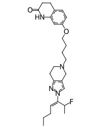 CCC/C=C(\C(C)F)n1cc2c(n1)CCN(CCCCOc1ccc3c(c1)NC(=O)CC3)C2